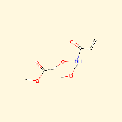 C=CC(=O)NOCC(=O)OC.COC